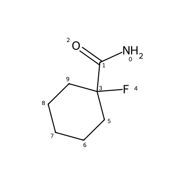 NC(=O)C1(F)CCCCC1